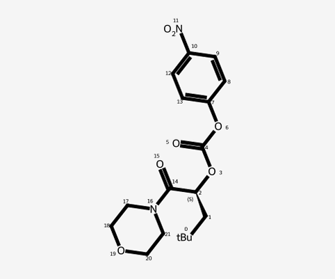 CC(C)(C)C[C@H](OC(=O)Oc1ccc([N+](=O)[O-])cc1)C(=O)N1CCOCC1